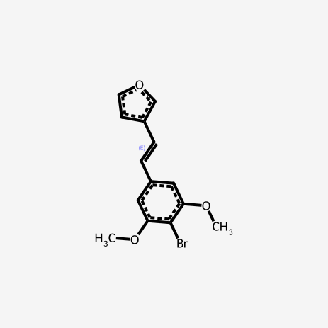 COc1cc(/C=C/c2ccoc2)cc(OC)c1Br